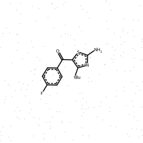 CC(C)(C)c1nc(N)sc1C(=O)c1ccc(F)cc1